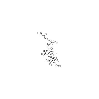 CC(C)OCCC(C)(C)C(C)(C)OCC(C)C(C)(C)C(C)(C)OCCC(C)(C)OCCOC(=O)CN